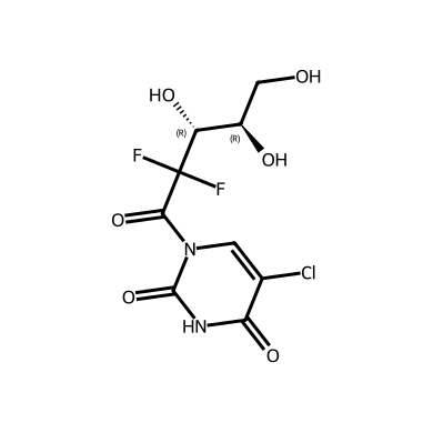 O=C(n1cc(Cl)c(=O)[nH]c1=O)C(F)(F)[C@H](O)[C@H](O)CO